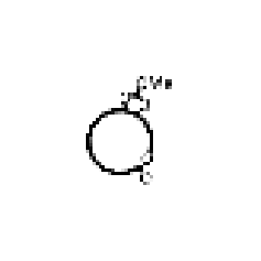 COC1OC2CCCCCCCCCC(=O)OCCCC2O1